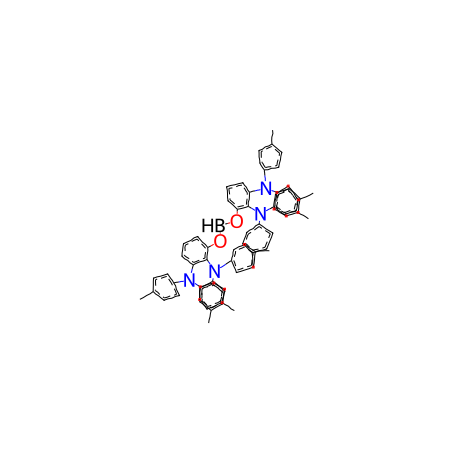 Cc1ccc(N(c2ccc(C)cc2)c2cccc(OBOc3cccc(N(c4ccc(C)cc4)c4ccc(C)cc4)c3N(c3ccc(C)cc3)c3ccc(C)cc3)c2N(c2ccc(C)cc2)c2ccc(C)cc2)cc1